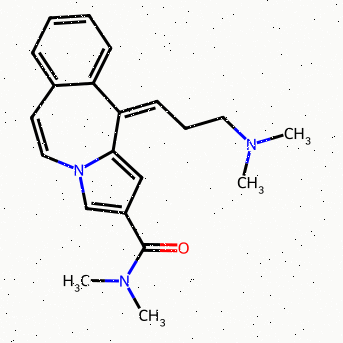 CN(C)CCC=C1c2ccccc2C=Cn2cc(C(=O)N(C)C)cc21